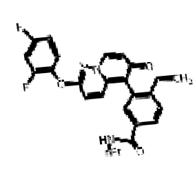 C=Cc1ccc(C(=O)NCCC)cc1-c1c(=O)ccn2nc(Oc3ccc(F)cc3F)ccc12